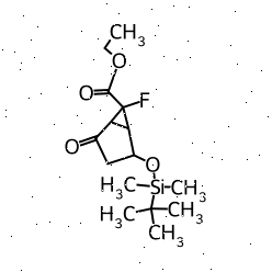 CCOC(=O)C1(F)C2C(=O)CC(O[Si](C)(C)C(C)(C)C)C21